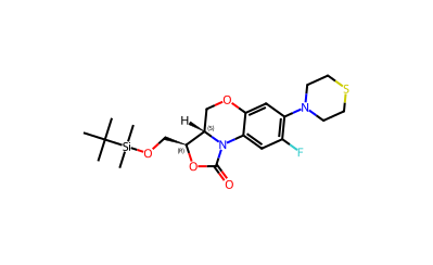 CC(C)(C)[Si](C)(C)OC[C@@H]1OC(=O)N2c3cc(F)c(N4CCSCC4)cc3OC[C@@H]12